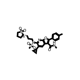 CNC(=O)c1c(-c2ccc(C)cc2)oc2nc(N(CCC[C@@H]3CCCS3(=O)=O)S(C)(=O)=O)c(C3CC3)cc12